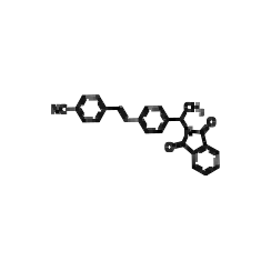 CC(c1ccc(C=Cc2ccc(C#N)cc2)cc1)N1C(=O)c2ccccc2C1=O